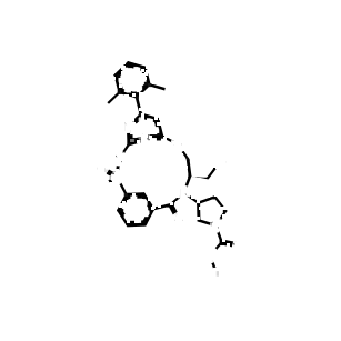 Cc1cccc(C)c1-c1cc2nc(n1)NS(=O)(=O)c1cccc(c1)C(=O)N(C1CCN(C(=O)OC(C)C)C1)[C@H](CC(C)C)CO2